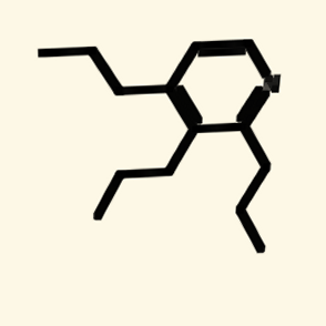 CCCc1ccnc(CCC)c1CCC